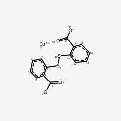 O=C([O-])c1ccccc1SSc1ccccc1C(=O)[O-].[Co+2]